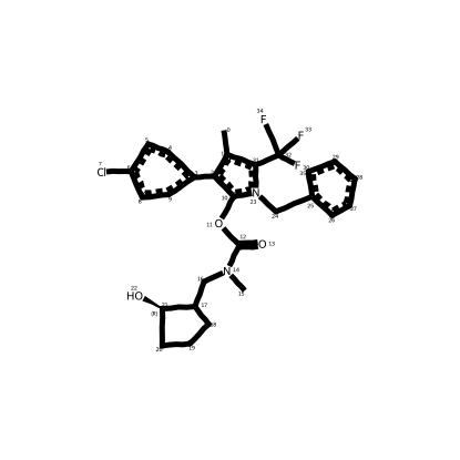 Cc1c(-c2ccc(Cl)cc2)c(OC(=O)N(C)CC2CCC[C@H]2O)n(Cc2ccccc2)c1C(F)(F)F